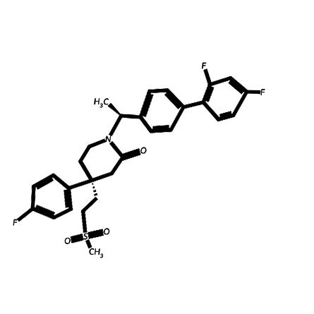 C[C@@H](c1ccc(-c2ccc(F)cc2F)cc1)N1CC[C@](CCS(C)(=O)=O)(c2ccc(F)cc2)CC1=O